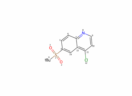 CC(C)(C)S(=O)(=O)c1ccc2nccc(Cl)c2c1